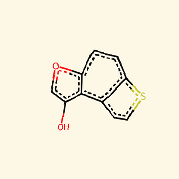 Oc1coc2ccc3sccc3c12